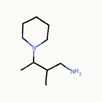 CC(CN)C(C)N1CCCCC1